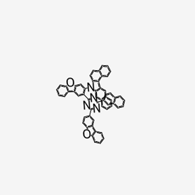 c1ccc2cc(-c3nc(-c4ccc5oc6ccccc6c5c4)nc(-c4cc5c(cc4-n4c6cc7ccccc7cc6c6c7ccccc7ccc64)oc4ccccc45)n3)ccc2c1